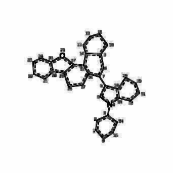 c1ccc(-n2cc(-c3cc4ccccc4c4c3ccc3c5ccccc5oc34)c3ccccc32)cc1